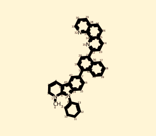 CN1CC=Cc2c1n(C1=CCCC=C1)c1ccc(-c3ccc(-c4ccc5ccc6cccnc6c5n4)c4ccccc34)cc21